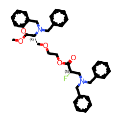 COC(=O)[C@@H](COCCOC(=O)[C@@H](F)CN(Cc1ccccc1)Cc1ccccc1)N(Cc1ccccc1)Cc1ccccc1